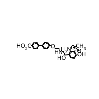 CS(=O)(=O)c1c(O)ccc(C(O)CNCCOc2ccc(-c3ccc(C(=O)O)cc3)cc2)c1N